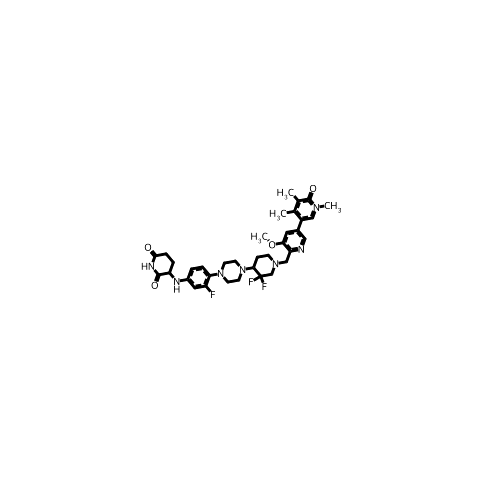 COc1cc(-c2cn(C)c(=O)c(C)c2C)cnc1CN1CCC(N2CCN(c3ccc(NC4CCC(=O)NC4=O)cc3F)CC2)C(F)(F)C1